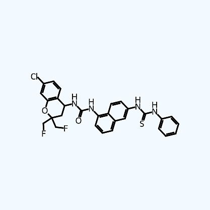 O=C(Nc1cccc2cc(NC(=S)Nc3ccccc3)ccc12)NC1CC(CF)(CF)Oc2cc(Cl)ccc21